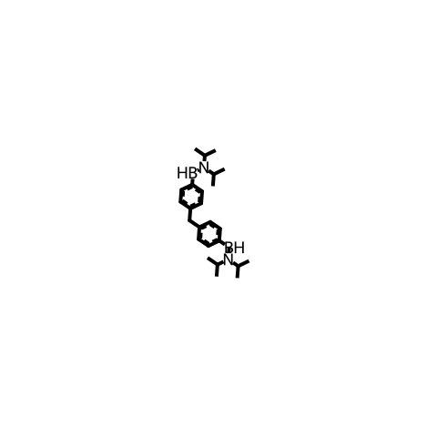 CC(C)N(Bc1ccc(Cc2ccc(BN(C(C)C)C(C)C)cc2)cc1)C(C)C